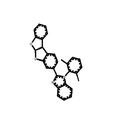 Cc1cccc(C)c1-n1c(-c2ccc3c(c2)OC2Oc4ccccc4C32)nc2ccccc21